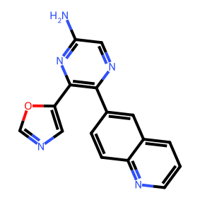 Nc1cnc(-c2ccc3ncccc3c2)c(-c2cnco2)n1